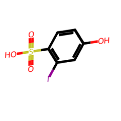 O=S(=O)(O)c1ccc(O)cc1I